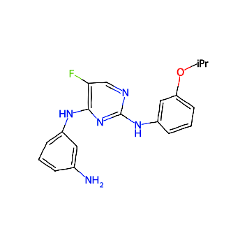 CC(C)Oc1cccc(Nc2ncc(F)c(Nc3cccc(N)c3)n2)c1